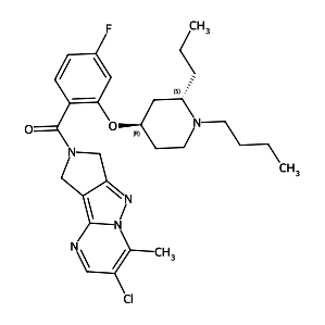 CCCCN1CC[C@@H](Oc2cc(F)ccc2C(=O)N2Cc3nn4c(C)c(Cl)cnc4c3C2)C[C@@H]1CCC